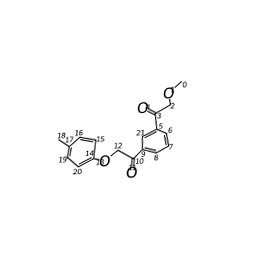 COCC(=O)c1cccc(C(=O)COc2ccc(C)cc2)c1